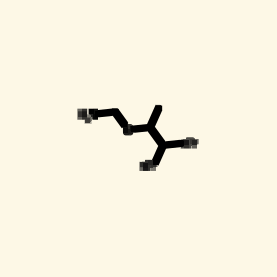 CCCC(CCC)C(C)OCN